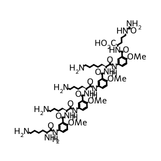 COc1ccc(NC(=O)[C@H](CCCCCN)NC(=O)c2cc(NC(=O)[C@H](CCCCN)NC(=O)c3cc(NC(=O)[C@H](CCCCN)NC(=O)c4cc(NC(=O)[C@@H](N)CCCCN)ccc4OC)ccc3OC)ccc2OC)cc1C(=O)N[C@@H](CCCNC(N)=O)C(=O)O